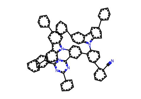 N#Cc1ccccc1-c1ccc(-n2c3ccc(-c4ccccc4)cc3c3cc(-c4ccccc4)ccc32)c(-c2ccc(-n3c4ccc(-c5ccccc5)cc4c4cc(-c5ccccc5)ccc43)c(-c3nc(-c4ccccc4)nc(-c4ccccc4)n3)c2)c1